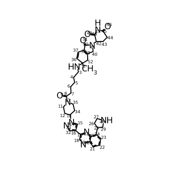 CC1(NCCCCCC(=O)N2CCC(n3cc(-c4cnc5cccc(C6CCNC6)c5n4)cn3)CC2)C=CC2=C(CN(C3CCC(=O)NC3=O)C2=O)C1